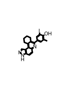 Cc1cc(-c2nc3ccc4[nH]ncc4c3c3c2CCCC3)cc(I)c1O